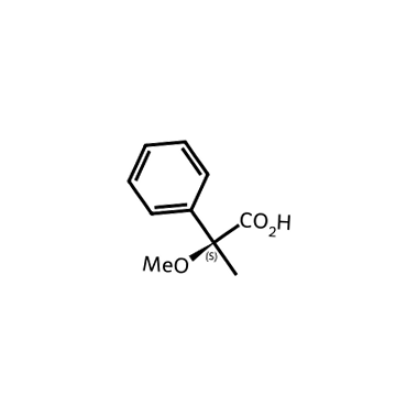 CO[C@](C)(C(=O)O)c1ccccc1